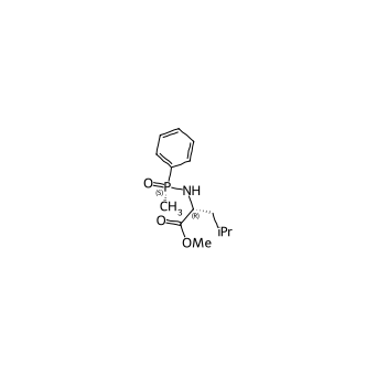 COC(=O)[C@@H](CC(C)C)N[P@@](C)(=O)c1ccccc1